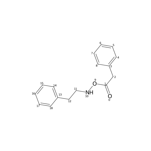 O=C(Cc1ccccc1)ONCCc1ccccc1